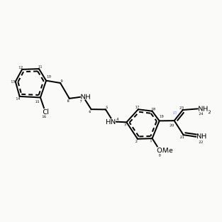 COc1cc(NCCNCCc2ccccc2Cl)ccc1/C(C=N)=C/N